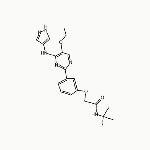 CCOc1cnc(-c2cccc(OCC(=O)NC(C)(C)C)c2)nc1Nc1cn[nH]c1